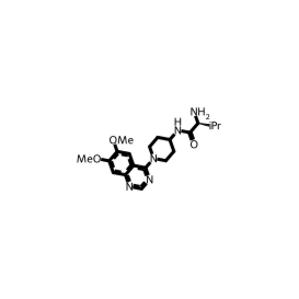 COc1cc2ncnc(N3CCC(NC(=O)[C@@H](N)C(C)C)CC3)c2cc1OC